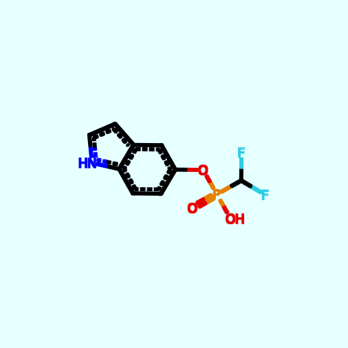 O=P(O)(Oc1ccc2[nH]ccc2c1)C(F)F